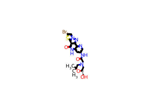 CC1(C)CN(CC(=O)Nc2cnc3c(c2)[nH]c(=O)c2c3nn3cc(Br)sc23)C[C@H](CO)O1